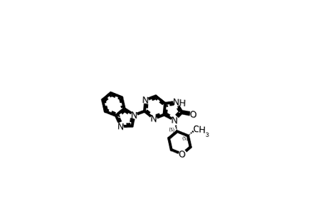 C[C@@H]1COCC[C@@H]1n1c(=O)[nH]c2cnc(-n3cnc4ccccc43)nc21